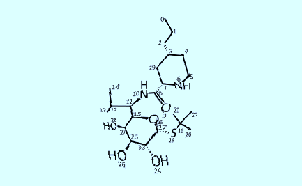 CCC[C@@H]1CCN[C@H](C(=O)N[C@H](C(C)C)[C@H]2O[C@H](SC(C)(C)C)[C@H](O)[C@@H](O)[C@H]2O)C1